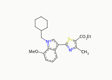 CCOC(=O)c1sc(-c2cn(CC3CCCCC3)c3c(OC)cccc23)nc1C